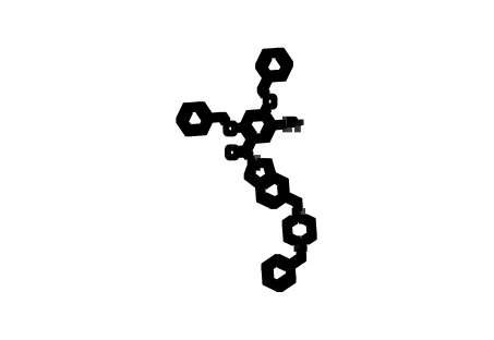 CC(C)c1cc(C(=O)N2Cc3ccc(CN4CCN(Cc5ccccc5)CC4)cc3C2)c(OCc2ccccc2)cc1OCc1ccccc1